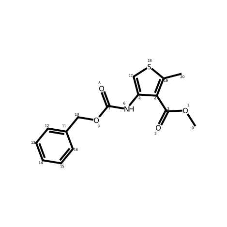 COC(=O)c1c(NC(=O)OCc2ccccc2)csc1C